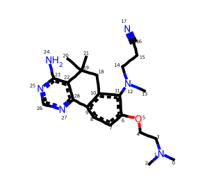 CN(C)CCOc1ccc2c(c1N(C)CCC#N)CC(C)(C)c1c(N)ncnc1-2